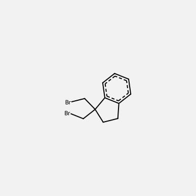 BrCC1(CBr)CCc2ccccc21